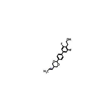 C/C=C/C1COC(c2ccc(-c3cc(F)c(CCO)c(F)c3)cc2)OC1